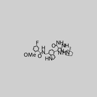 COc1ccc(F)cc1C(=O)NCc1ccc(-c2nn(C3CC4CCC(C3)N4)c(N)c2C(N)=O)c2cc[nH]c12